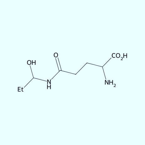 CCC(O)NC(=O)CCC(N)C(=O)O